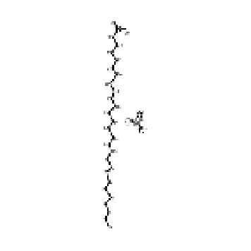 CCCCCCCCCCCCCCCCCCCCCCCCCCN(C)C.O=[N+]([O-])O